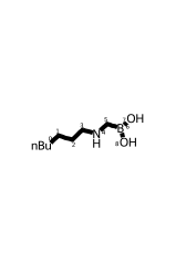 CCCCCCCNCB(O)O